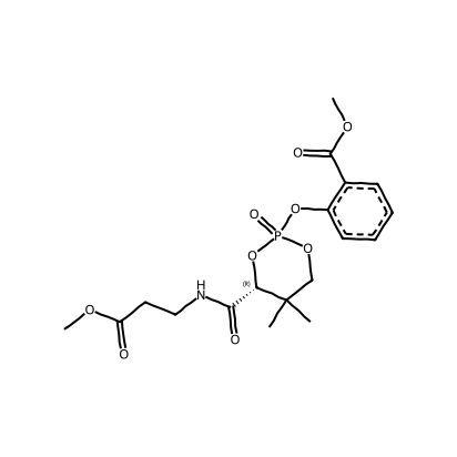 COC(=O)CCNC(=O)[C@@H]1OP(=O)(Oc2ccccc2C(=O)OC)OCC1(C)C